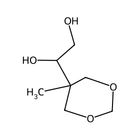 CC1(C(O)CO)COCOC1